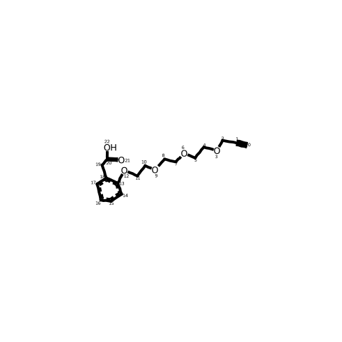 C#CCOCCOCCOCCOc1ccccc1CC(=O)O